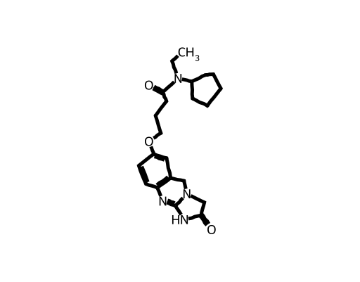 CCN(C(=O)CCCOc1ccc2c(c1)CN1CC(=O)NC1=N2)C1CCCCC1